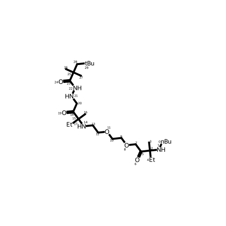 CCCCNC(C)(CC)C(=O)COCCOCCNC(C)(CC)C(=O)CNNC(=O)C(C)(C)CC(C)(C)C